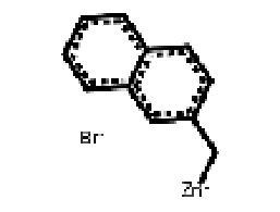 [Br-].[Zn+][CH2]c1ccc2ccccc2c1